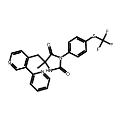 CC1(Cc2ccncc2-c2ccccn2)NC(=O)N(c2ccc(SC(F)(F)F)cc2)C1=O